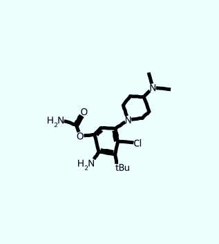 CN(C)C1CCN(c2cc(OC(N)=O)c(N)c(C(C)(C)C)c2Cl)CC1